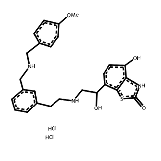 COc1ccc(CNCc2cccc(CCNCC(O)c3ccc(O)c4[nH]c(=O)sc34)c2)cc1.Cl.Cl